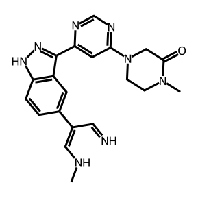 CN/C=C(\C=N)c1ccc2[nH]nc(-c3cc(N4CCN(C)C(=O)C4)ncn3)c2c1